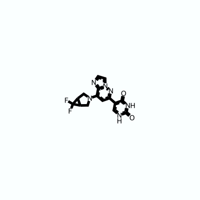 O=c1[nH]cc(-c2cc(N3CC4C(C3)C4(F)F)c3nccn3n2)c(=O)[nH]1